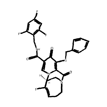 O=C(NCc1c(F)cc(F)cc1F)c1cn2c(c(OCc3ccccc3)c1=O)C(=O)N1CCC=C(F)[C@@H]2C1